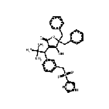 CC(C)(C)C(C1=C(O)C(Cc2ccccc2)(Cc2ccccc2)OC1=O)c1cccc(CS(=O)(=O)c2c[nH]cn2)c1